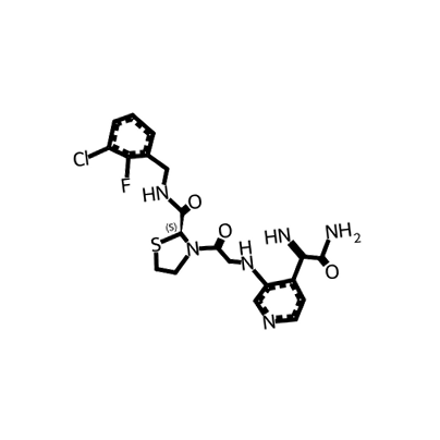 N=C(C(N)=O)c1ccncc1NCC(=O)N1CCS[C@H]1C(=O)NCc1cccc(Cl)c1F